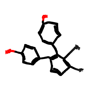 CC(C)c1ccc(-c2ccc(O)cc2)c(-c2ccc(O)cc2)c1C(C)C